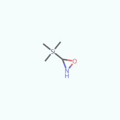 C[Si](C)(C)C1NO1